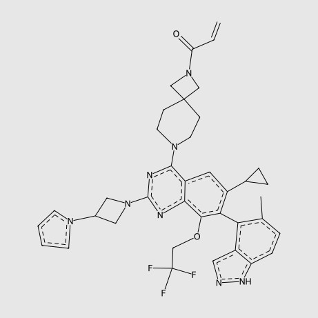 C=CC(=O)N1CC2(CCN(c3nc(N4CC(n5cccc5)C4)nc4c(OCC(F)(F)F)c(-c5c(C)ccc6[nH]ncc56)c(C5CC5)cc34)CC2)C1